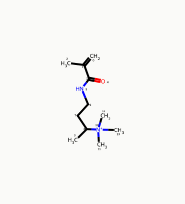 C=C(C)C(=O)NCCC(C)[N+](C)(C)C